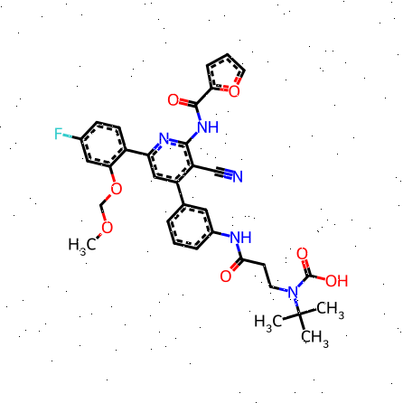 COCOc1cc(F)ccc1-c1cc(-c2cccc(NC(=O)CCN(C(=O)O)C(C)(C)C)c2)c(C#N)c(NC(=O)c2ccco2)n1